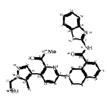 COC(=O)c1nc(N2CCc3cccc(C(=O)Nc4nc5ccccc5s4)c3C2)ccc1-c1cnn(CC(C)(C)C)c1C